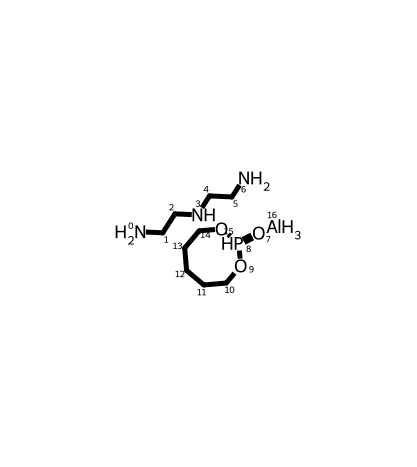 NCCNCCN.O=[PH]1OCCCCCO1.[AlH3]